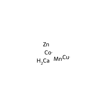 [CaH2].[Co].[Cu].[Mn].[Zn]